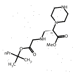 CCCC(C)(C)OC(=O)CNC[C@@H](C(=O)OC)N1CCNCC1